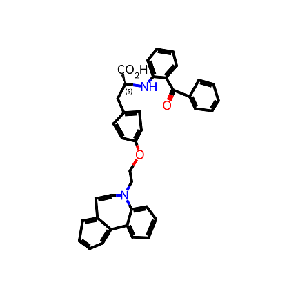 O=C(c1ccccc1)c1ccccc1N[C@@H](Cc1ccc(OCCN2C=Cc3ccccc3-c3ccccc32)cc1)C(=O)O